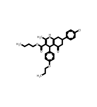 CCCCOC(=O)C1=C(C)NC2=C(C(=O)CC(c3ccc(Cl)cc3)C2)C1c1ccc(OCCC)cc1